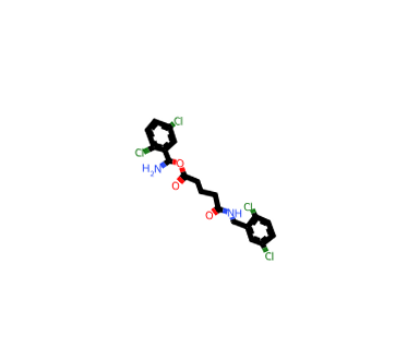 NC(OC(=O)CCCC(=O)NCc1cc(Cl)ccc1Cl)c1cc(Cl)ccc1Cl